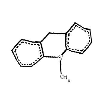 C[S+]1c2ccccc2Cc2ccccc21